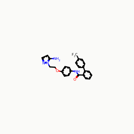 Nc1ccnn1CCOc1ccc(NC(=O)c2ccccc2-c2ccc(C(F)(F)F)cc2)cc1